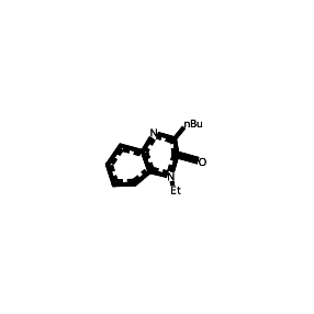 CCCCc1nc2ccccc2n(CC)c1=O